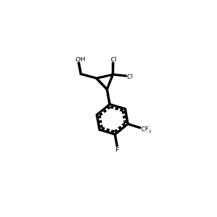 OCC1C(c2ccc(F)c(C(F)(F)F)c2)C1(Cl)Cl